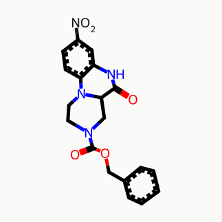 O=C1Nc2cc([N+](=O)[O-])ccc2N2CCN(C(=O)OCc3ccccc3)CC12